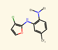 CCN(CC)c1ccc(C(F)(F)F)cc1Nc1occc1Cl